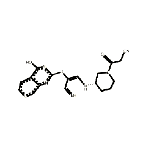 N#CCC(=O)N1CCC[C@H](N/C=C(\C=N)Oc2nc(O)c3ccncc3n2)C1